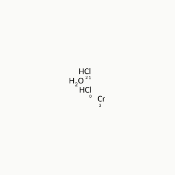 Cl.Cl.O.[Cr]